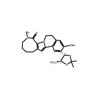 CCOC(=O)[C@@H]1OC(C)(C)O[C@H]1c1cc2c(cc1OC)CCn1c-2cc2c1C(=O)N(C(C)(C)C)CCCC2